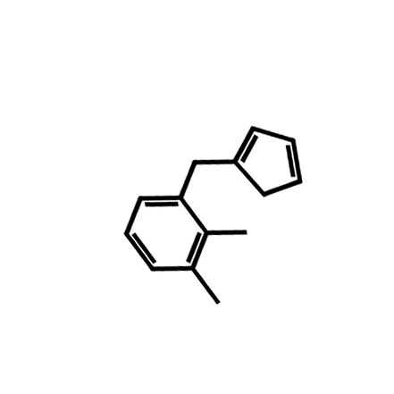 Cc1cccc(CC2=CC=CC2)c1C